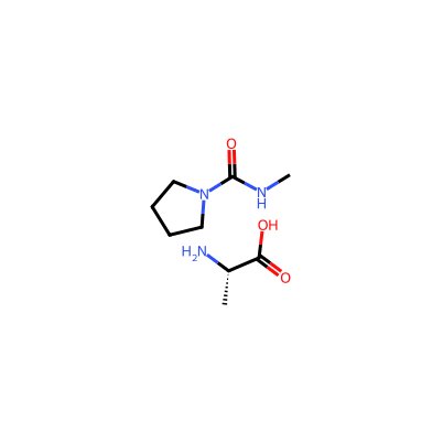 CNC(=O)N1CCCC1.C[C@H](N)C(=O)O